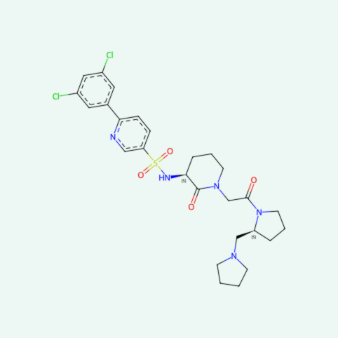 O=C1[C@@H](NS(=O)(=O)c2ccc(-c3cc(Cl)cc(Cl)c3)nc2)CCCN1CC(=O)N1CCC[C@H]1CN1CCCC1